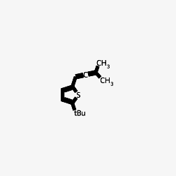 CC(C)=C=Cc1ccc(C(C)(C)C)s1